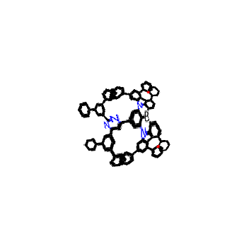 c1ccc(-c2cc(-c3ccccc3)cc(-c3cc(-c4cc5c6c(c4)-n4c7cc(-c8ccccc8)cc(-c8ccccc8)c7c7c(C8CCCCC8)ccc(c74)B6c4ccc(C6CCCCC6)c6c7c(-c8ccccc8)cc(-c8ccccc8)cc7n-5c46)nc(-c4cc(-c5ccccc5)cc(-c5ccccc5)c4)n3)c2)cc1